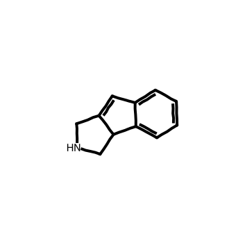 C1=C2CNCC2c2ccccc21